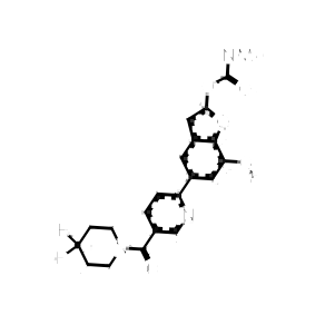 CNC(=O)Oc1cc2cc(-c3ccc(C(=O)N4CCC(F)(F)CC4)cn3)cc(OC(F)(F)F)c2o1